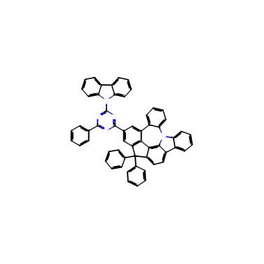 c1ccc(-c2nc(-c3cc4c5c(c3)C(c3ccccc3)(c3ccccc3)c3ccc6c7ccccc7n(c6c3-5)-c3ccccc3-4)nc(-n3c4ccccc4c4ccccc43)n2)cc1